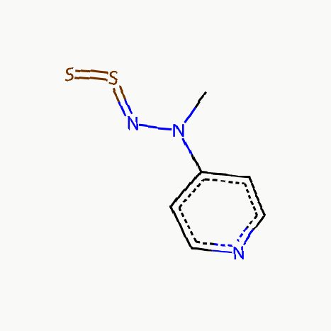 CN(N=S=S)c1ccncc1